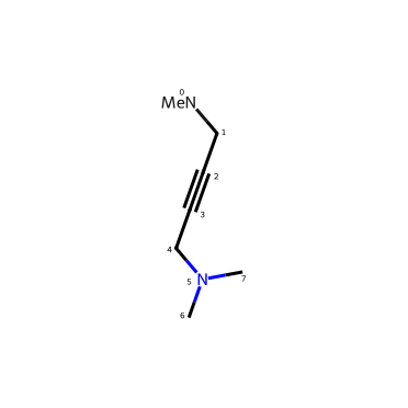 CNCC#CCN(C)C